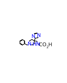 O=C(O)NCC1(c2cnccn2)CCN(Cc2ccccc2)CC1